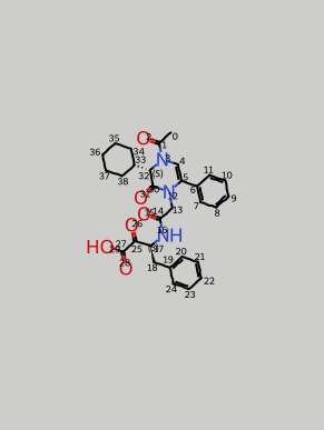 CC(=O)N1C=C(c2ccccc2)N(CC(=O)N[C@@H](Cc2ccccc2)C(=O)C(=O)O)C(=O)[C@@H]1C1CCCCC1